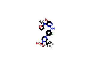 CN(c1nc(Nc2ccc(N3CCN(C(=O)O)C(C(C)(C)C)C3)cc2)ncc1Br)C1CCCO1.Cl